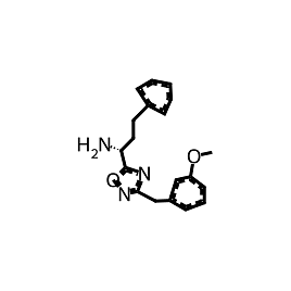 COc1cccc(Cc2noc([C@H](N)CCc3ccccc3)n2)c1